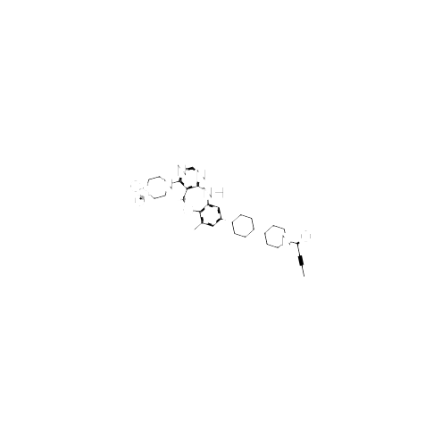 CC#CC(=O)N1CCC([C@H]2CC[C@H](c3cc(C)c4c(c3)Nc3ncnc(N5CCS(=O)(=O)CC5)c3[C@@H](C)O4)CC2)CC1